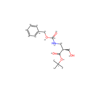 CC(C)(C)OC(=O)[C@H](CO)CNC(=O)OCc1ccccc1